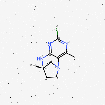 Cc1nc(Cl)nc2c1N1CC[C@@H](C1)N2